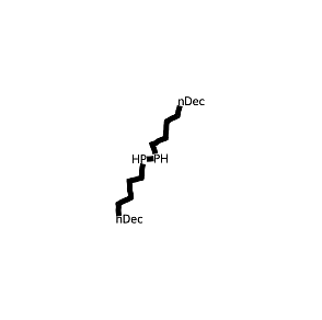 CCCCCCCCCCCCCCPPCCCCCCCCCCCCCC